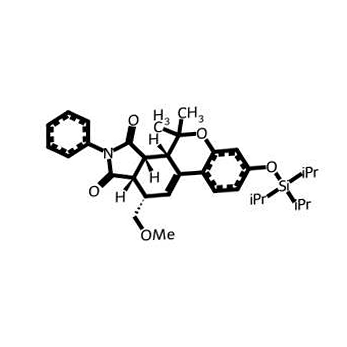 COC[C@H]1C=C2c3ccc(O[Si](C(C)C)(C(C)C)C(C)C)cc3OC(C)(C)[C@H]2[C@H]2C(=O)N(c3ccccc3)C(=O)[C@H]21